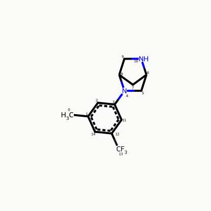 Cc1cc(N2CC3CC2CN3)cc(C(F)(F)F)c1